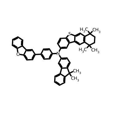 CC1(C)CCC(C)(C)c2cc3c(cc21)sc1ccc(N(c2ccc(-c4ccc5oc6ccccc6c5c4)cc2)c2ccc4c(c2)-c2ccccc2C4(C)C)cc13